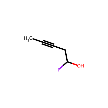 CC#CCC(O)I